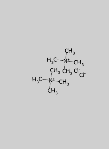 C[N+](C)(C)C.C[N+](C)(C)C.[Cl-].[Cl-]